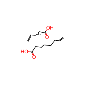 C=CCCC(=O)O.C=CCCCCCC(=O)O